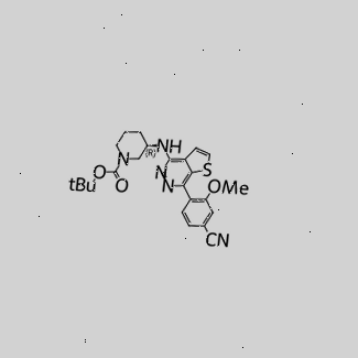 COc1cc(C#N)ccc1-c1nnc(N[C@@H]2CCCN(C(=O)OC(C)(C)C)C2)c2ccsc12